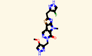 COc1c[nH]nc1Cn1ncc2c3sc(Cc4n[nH]cc4F)nc3n(C)c2c1=O